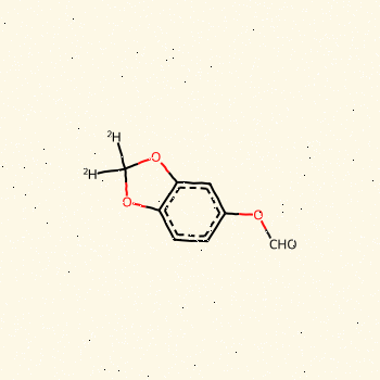 [2H]C1([2H])Oc2ccc(OC=O)cc2O1